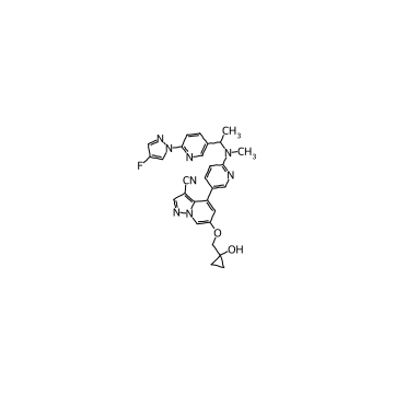 CC(c1ccc(-n2cc(F)cn2)nc1)N(C)c1ccc(-c2cc(OCC3(O)CC3)cn3ncc(C#N)c23)cn1